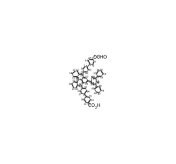 O=COc1ccc(-c2ccc(N3c4ccccc4B4c5ccccc5N(c5ccc(-c6ccc(C(=O)O)cc6)cc5)c5cc(-c6nc(-c7ccccc7)nc(-c7ccccc7)n6)cc3c54)cc2)cc1